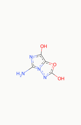 Nc1nc(O)c2oc(O)nn12